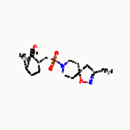 CC1(C)C2CCC1(CS(=O)(=O)N1CCC3(CC1)CC(C(=O)O)=NO3)C(=O)C2